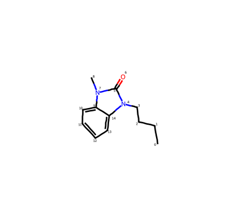 CCCCn1c(=O)n(C)c2ccccc21